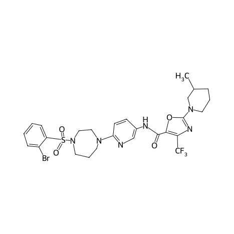 CC1CCCN(c2nc(C(F)(F)F)c(C(=O)Nc3ccc(N4CCCN(S(=O)(=O)c5ccccc5Br)CC4)nc3)o2)C1